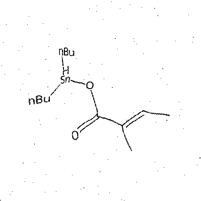 CC=C(C)C(=O)[O][SnH]([CH2]CCC)[CH2]CCC